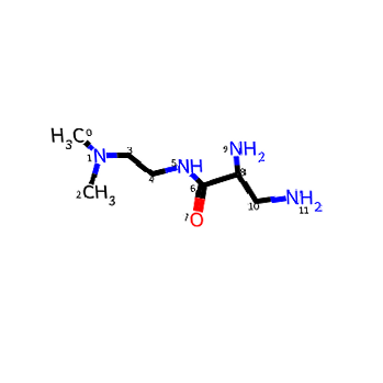 CN(C)CCNC(=O)C(N)CN